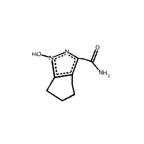 NC(=O)c1nn(O)c2c1CCC2